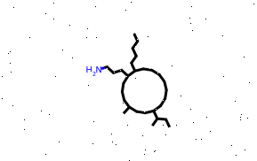 CCCCCC1CCCCCCCC(C(C)CC)CCC(C)CCCC1CCCN